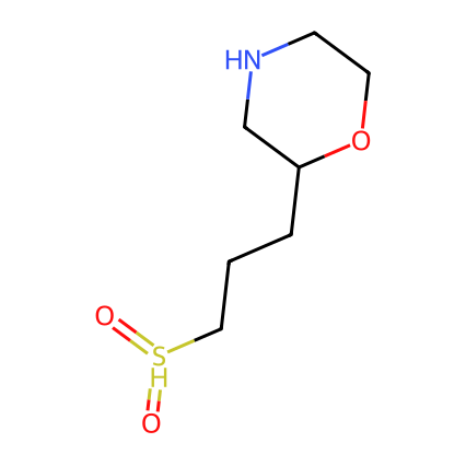 O=[SH](=O)CCCC1CNCCO1